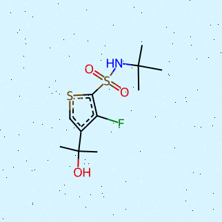 CC(C)(C)NS(=O)(=O)c1scc(C(C)(C)O)c1F